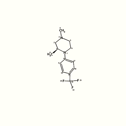 C[C@H]1CN(C)CCN1c1ccc(C(F)(F)F)cc1